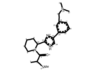 CSC(C)C(=O)N1CCCCC1c1nc(-c2cccc(CN(C)C)c2)c[nH]1